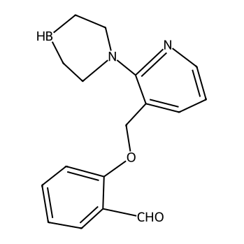 O=Cc1ccccc1OCc1cccnc1N1CCBCC1